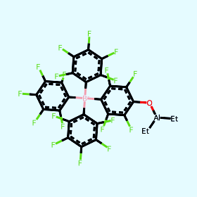 C[CH2][Al]([CH2]C)[O]c1c(F)c(F)c([B-](c2c(F)c(F)c(F)c(F)c2F)(c2c(F)c(F)c(F)c(F)c2F)c2c(F)c(F)c(F)c(F)c2F)c(F)c1F